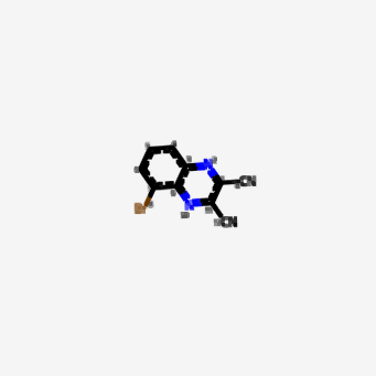 N#Cc1nc2cccc(Br)c2nc1C#N